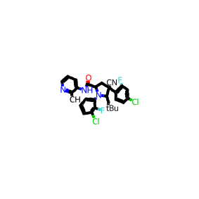 Cc1ncccc1NC(=O)C1CC(C#N)(c2ccc(Cl)cc2F)C(CC(C)(C)C)N1c1cccc(Cl)c1F